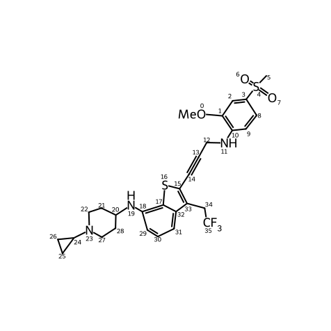 COc1cc(S(C)(=O)=O)ccc1NCC#Cc1sc2c(NC3CCN(C4CC4)CC3)cccc2c1CC(F)(F)F